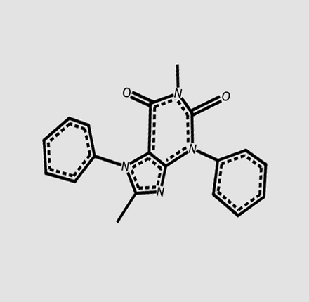 Cc1nc2c(c(=O)n(C)c(=O)n2-c2ccccc2)n1-c1ccccc1